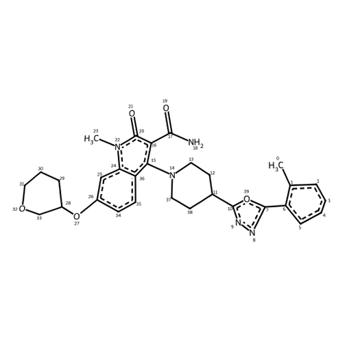 Cc1ccccc1-c1nnc(C2CCN(c3c(C(N)=O)c(=O)n(C)c4cc(OC5CCCOC5)ccc34)CC2)o1